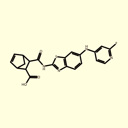 O=C(O)C1C2C=CC(C2)C1C(=O)Nc1nc2ccc(Nc3ccnc(F)c3)cc2s1